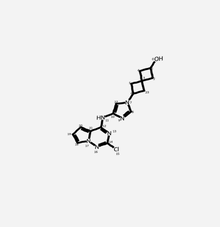 OC1CC2(C1)CC(n1cnc(Nc3nc(Cl)nn4cccc34)c1)C2